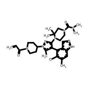 C=CC(=O)N1CCC(n2nc(N3CCN(C(=O)N(C)C)CC3(C)C)c(-c3c(Cl)c(C)cc4[nH]ncc34)c2C)CC1